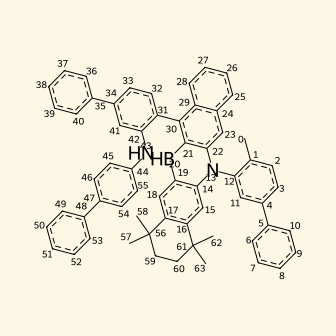 Cc1ccc(-c2ccccc2)cc1N1c2cc3c(cc2Bc2c1cc1ccccc1c2-c1ccc(-c2ccccc2)cc1Nc1ccc(-c2ccccc2)cc1)C(C)(C)CCC3(C)C